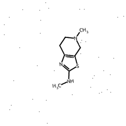 CNc1nc2c(s1)CN(C)CC2